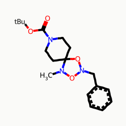 CN1ON(Cc2ccccc2)OC12CCN(C(=O)OC(C)(C)C)CC2